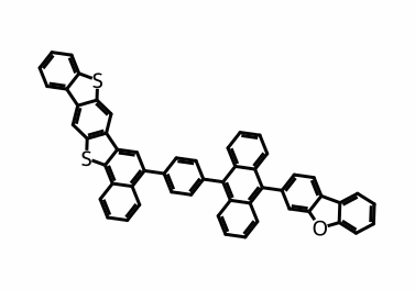 c1ccc2c(c1)oc1cc(-c3c4ccccc4c(-c4ccc(-c5cc6c7cc8sc9ccccc9c8cc7sc6c6ccccc56)cc4)c4ccccc34)ccc12